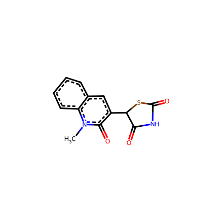 Cn1c(=O)c(C2SC(=O)NC2=O)cc2ccccc21